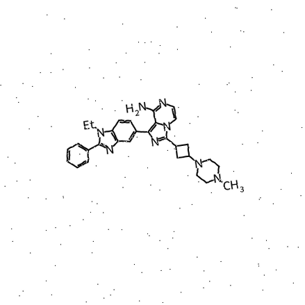 CCn1c(-c2ccccc2)nc2cc(-c3nc(C4CC(N5CCN(C)CC5)C4)n4ccnc(N)c34)ccc21